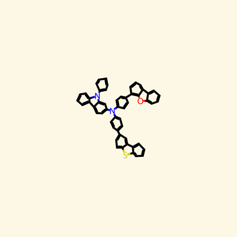 c1ccc(-n2c3ccccc3c3ccc(N(c4ccc(-c5ccc6sc7ccccc7c6c5)cc4)c4ccc(-c5cccc6c5oc5ccccc56)cc4)cc32)cc1